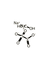 O=C(O)O.O=S([O-])S(=O)(=O)[O-].[Na+].[Na+]